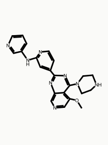 COc1cncc2nc(-c3ccnc(Nc4cccnc4)c3)nc(N3CCNCC3)c12